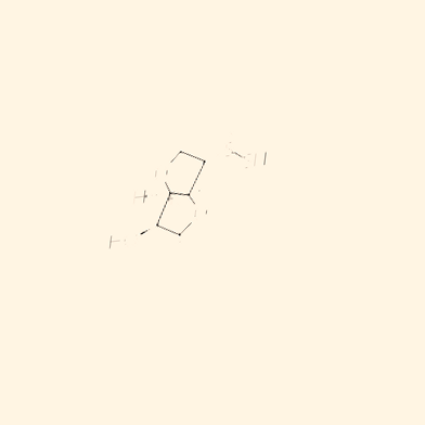 O[C@@H]1COC2[C@@H](SS)CO[C@@H]21